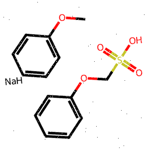 COc1ccccc1.O=S(=O)(O)COc1ccccc1.[NaH]